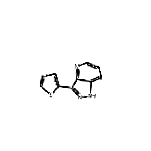 c1csc(-c2n[nH]c3cccnc23)c1